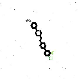 CCCCc1ccc(C2CCC(CCc3ccc(-c4ccc(Cl)c(F)c4)cc3)CC2)cc1